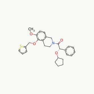 COc1ccc2c(c1OCc1cccs1)CCN(C(=O)[C@@H](OC1CCCC1)c1ccccc1)C2